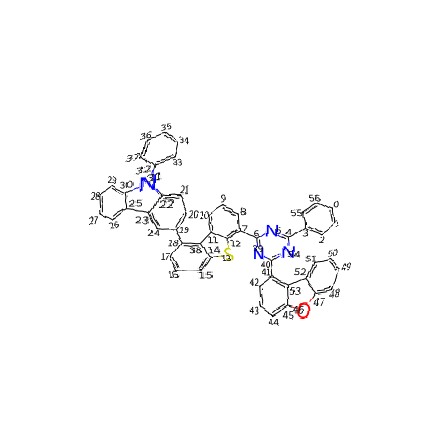 c1ccc(-c2nc(-c3cccc4c3sc3cccc(-c5ccc6c(c5)c5ccccc5n6-c5ccccc5)c34)nc(-c3cccc4oc5ccccc5c34)n2)cc1